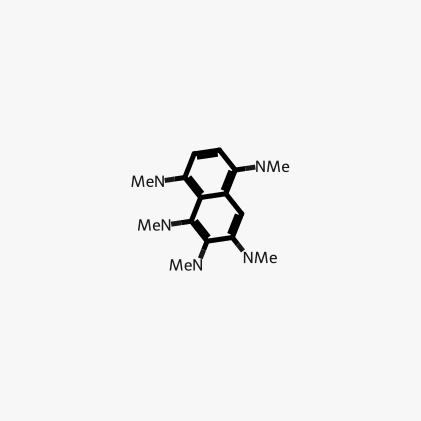 CNc1cc2c(NC)ccc(NC)c2c(NC)c1NC